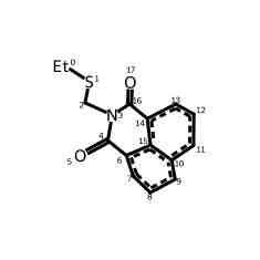 CCSCN1C(=O)c2cccc3cccc(c23)C1=O